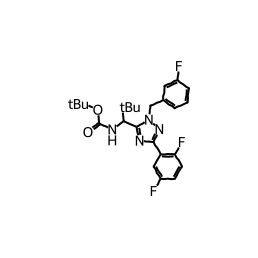 CC(C)(C)OC(=O)NC(c1nc(-c2cc(F)ccc2F)nn1Cc1cccc(F)c1)C(C)(C)C